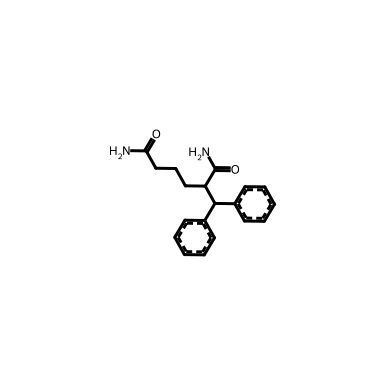 NC(=O)CCCC(C(N)=O)C(c1ccccc1)c1ccccc1